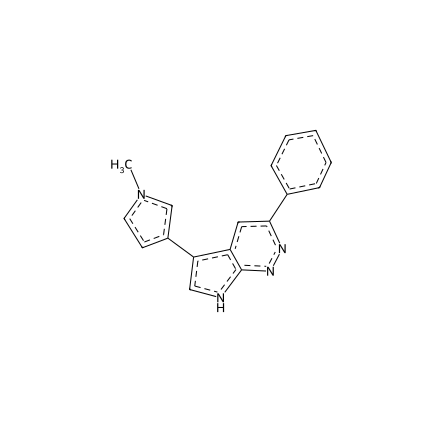 Cn1ccc(-c2c[nH]c3nnc(-c4ccccc4)cc23)c1